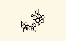 COC1=C(F)C(N2CCC(C(N)CC(C(F)(F)F)C(F)(F)F)C2)C(C)c2c1c(=O)[nH]c(=O)n2C1CC1